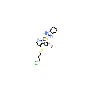 Cc1c(SCCCCCl)ccnc1CSc1nc2ccccc2[nH]1